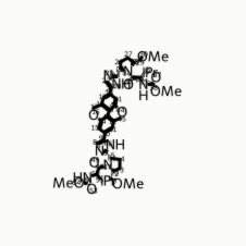 COC[C@H]1CC[C@@H](c2ncc(-c3cc4c5c(c3)OCc3cc(-c6cnc([C@@H]7CC[C@H](COC)N7C(=O)[C@@H](NC(=O)OC)C(C)C)[nH]6)cc(c3-5)OC4)[nH]2)N1C(=O)C(NC(=O)OC)C(C)C